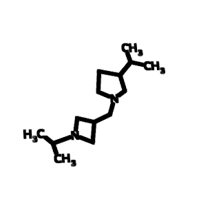 CC(C)C1CCN(CC2CN(C(C)C)C2)C1